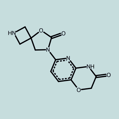 O=C1COc2ccc(N3CC4(CNC4)OC3=O)nc2N1